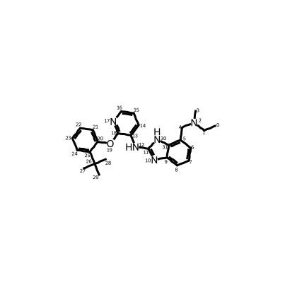 CCN(C)Cc1cccc2nc(Nc3cccnc3Oc3ccccc3C(C)(C)C)[nH]c12